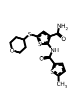 Cc1ccc(C(=O)Nc2sc(SC3CCOCC3)cc2C(N)=O)s1